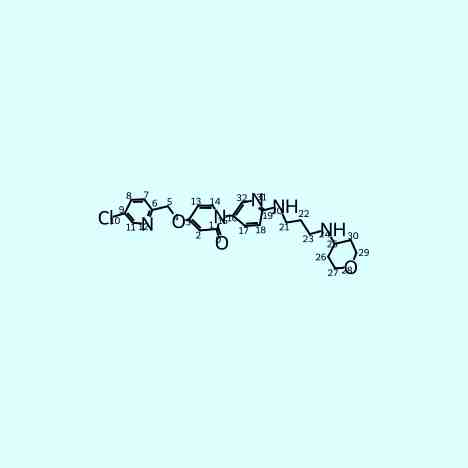 O=c1cc(OCc2ccc(Cl)cn2)ccn1-c1ccc(NCCCNC2CCOCC2)nc1